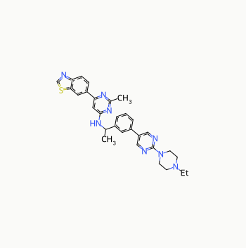 CCN1CCN(c2ncc(-c3cccc(C(C)Nc4cc(-c5ccc6ncsc6c5)nc(C)n4)c3)cn2)CC1